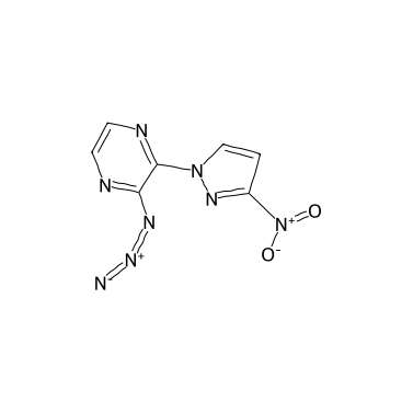 [N-]=[N+]=Nc1nccnc1-n1ccc([N+](=O)[O-])n1